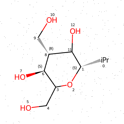 CC(C)[C@@H]1OC(CO)[C@@H](O)[C@H](CO)C1O